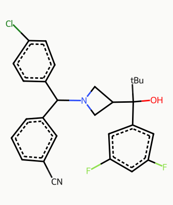 CC(C)(C)C(O)(c1cc(F)cc(F)c1)C1CN(C(c2ccc(Cl)cc2)c2cccc(C#N)c2)C1